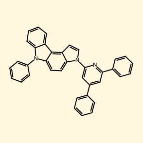 c1ccc(-c2cc(-c3ccccc3)nc(-n3ccc4c5c6ccccc6n(-c6ccccc6)c5ccc43)c2)cc1